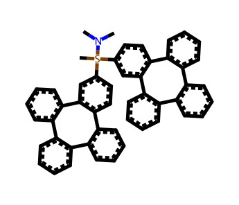 CN(C)S(C)(c1ccc2c(c1)-c1ccccc1-c1ccccc1-c1ccccc1-2)c1ccc2c(c1)-c1ccccc1-c1ccccc1-c1ccccc1-2